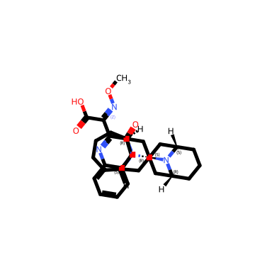 CO/N=C(\C(=O)O)c1nc2ccccc2n([C@H]2C[C@H]3CCC[C@@H](C2)N3[C@@H]2C[C@@H]3CCCC[C@@H](C3)C2)c1=O